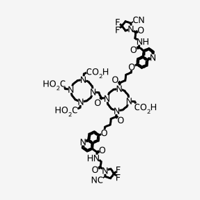 N#C[C@@H]1CC(F)(F)CN1C(=O)CNC(=O)c1ccnc2ccc(OCCCC(=O)N3CCN(CC(=O)O)CCN(C(=O)CCCOc4ccc5nccc(C(=O)NCC(=O)N6CC(F)(F)C[C@H]6C#N)c5c4)CCN(C(=O)CN4CCN(CC(=O)O)CCN(CC(=O)O)CCN(CC(=O)O)CC4)CC3)cc12